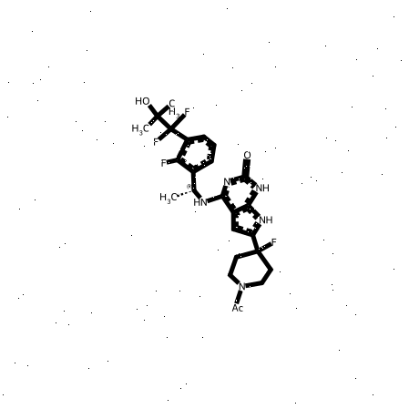 CC(=O)N1CCC(F)(c2cc3c(N[C@H](C)c4cccc(C(F)(F)C(C)(C)O)c4F)nc(=O)[nH]c3[nH]2)CC1